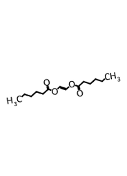 CCCCCC(=O)OC=COC(=O)CCCCC